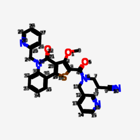 COc1c(C(=O)N(CCC#N)Cc2cccnc2)sc2c1c(=O)n(Cc1ccccn1)c1ccccc21